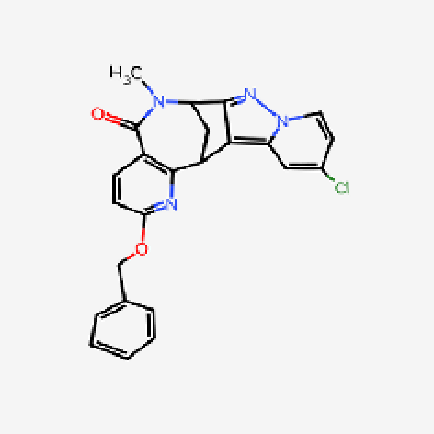 CN1C(=O)c2ccc(OCc3ccccc3)nc2C2CC1c1nn3ccc(Cl)cc3c12